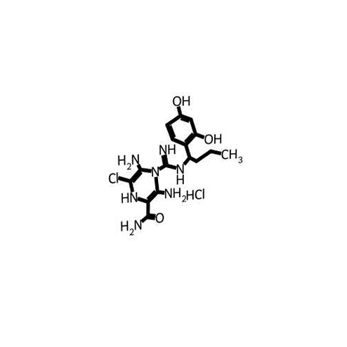 CCCC(NC(=N)N1C(N)=C(Cl)NC(C(N)=O)=C1N)c1ccc(O)cc1O.Cl